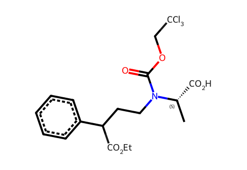 CCOC(=O)C(CCN(C(=O)OCC(Cl)(Cl)Cl)[C@@H](C)C(=O)O)c1ccccc1